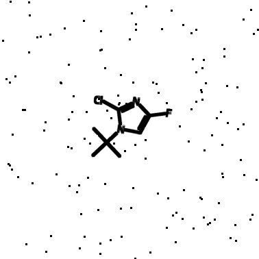 CC(C)(C)n1cc(F)nc1Cl